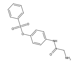 NCC(=O)Nc1ccc(OS(=O)(=O)c2ccccc2)cc1